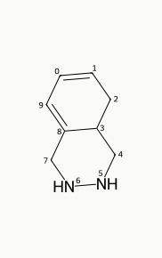 C1=CCC2CNNCC2=C1